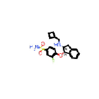 NS(=O)(=O)c1ccc(O[C@@H]2c3ccccc3C[C@H]2NCC2CCC2)c(F)c1